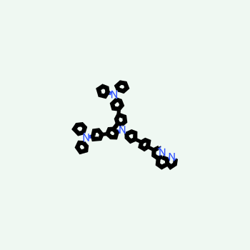 c1ccc(N(c2ccccc2)c2ccc(-c3ccc4c(c3)c3cc(-c5ccc(N(c6ccccc6)c6ccccc6)cc5)ccc3n4-c3ccc(-c4ccc(-c5cnc6c(ccc7cccnc76)c5)cc4)cc3)cc2)cc1